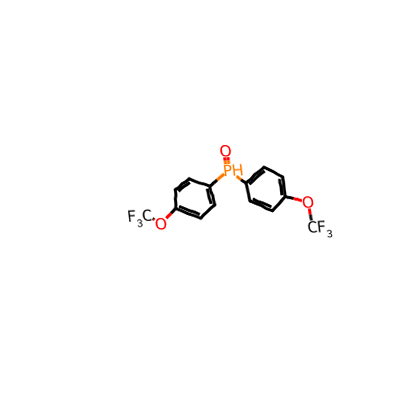 O=[PH](c1ccc(OC(F)(F)F)cc1)c1ccc(OC(F)(F)F)cc1